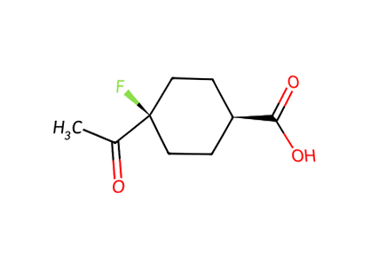 CC(=O)[C@]1(F)CC[C@@H](C(=O)O)CC1